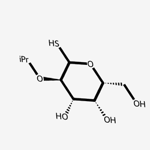 CC(C)O[C@H]1C(S)O[C@H](CO)[C@H](O)[C@@H]1O